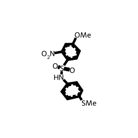 COc1ccc(S(=O)(=O)Nc2ccc(SC)cc2)c([N+](=O)[O-])c1